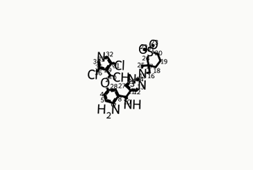 C[C@@H](Oc1ccc(N)c(C(=N)c2cnc(N3CC4(CCCS(=O)(=O)C4)C3)nc2)c1)c1c(Cl)cncc1Cl